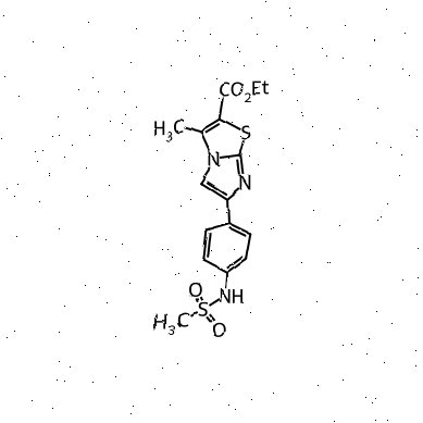 CCOC(=O)c1sc2nc(-c3ccc(NS(C)(=O)=O)cc3)cn2c1C